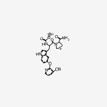 CC(C)(C)OC(=O)NC(Cc1c[nH]c2ccc(Oc3ncccc3C#N)cc12)C(=O)N1CSCC1C(N)=O